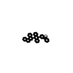 c1ccc2c(c1)ccc1cc(-c3c4ccccc4c(-c4ccc5oc6ccccc6c5c4)c4ccccc34)c3ccccc3c12